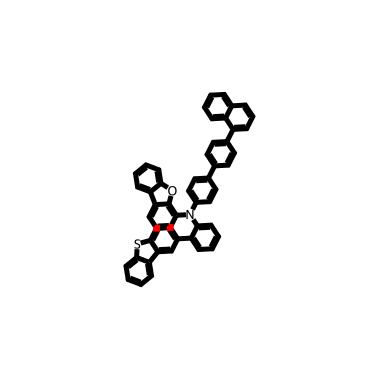 c1ccc(N(c2ccc(-c3ccc(-c4cccc5ccccc45)cc3)cc2)c2cccc3c2oc2ccccc23)c(-c2ccc3sc4ccccc4c3c2)c1